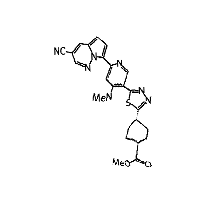 CNc1cc(-c2ccc3cc(C#N)cnn23)ncc1-c1nnc([C@H]2CC[C@H](C(=O)OC)CC2)s1